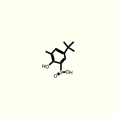 Cc1cc(C(C)(C)C)cc(S(=O)O)c1O